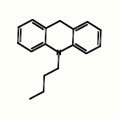 CCCCN1c2ccccc2Cc2ccccc21